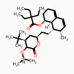 CCC(CC)(CC)C(=O)O[C@H]1CCC=C2C=C[C@H](C)[C@H](CC[C@@H]3C[C@H](C(C)(C)C)C(O[SiH](C)C)C(=O)O3)[C@H]21